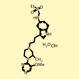 CCS(=O)(=O)CNc1ccc2[nH]cc(CCCN3CCN(c4ncncc4OC)C(C)C3)c2c1.Cl.O